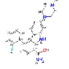 CN1CCN(c2ccc3c(c2)[nH]c2c(C(N)=O)ccc(-c4ccccc4F)c23)CC1